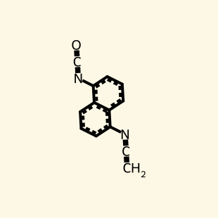 C=C=Nc1cccc2c(N=C=O)cccc12